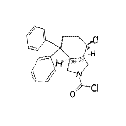 O=C(Cl)N1C[C@@H]2[C@H](Cl)CCC(c3ccccc3)(c3ccccc3)[C@@H]2C1